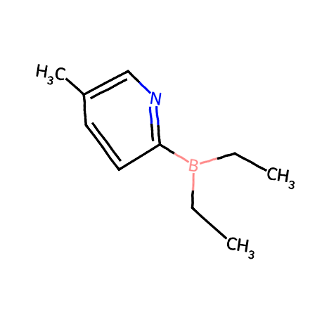 CCB(CC)c1ccc(C)cn1